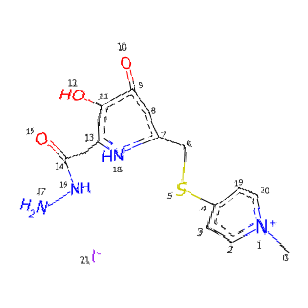 C[n+]1ccc(SCc2cc(=O)c(O)c(C(=O)NN)[nH]2)cc1.[I-]